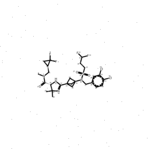 CN(C[C@H]1CC1(F)F)C(=O)[C@@H]1NC(C23CC(N(Cc4ccc(Cl)c(Cl)c4)S(=O)(=O)CCC(F)F)(C2)C3)=NC1(C)C